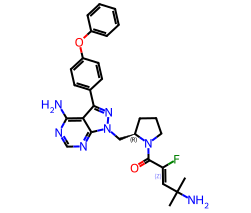 CC(C)(N)/C=C(\F)C(=O)N1CCC[C@@H]1Cn1nc(-c2ccc(Oc3ccccc3)cc2)c2c(N)ncnc21